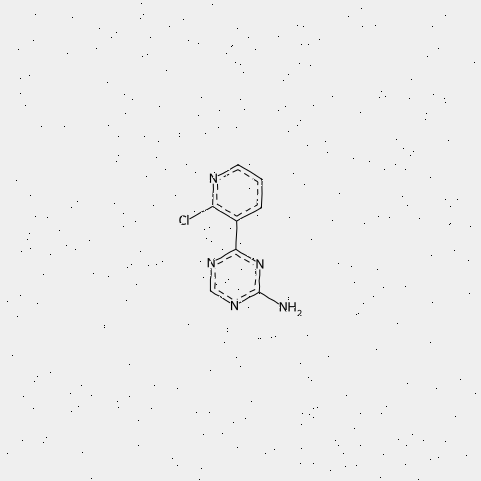 Nc1ncnc(-c2cccnc2Cl)n1